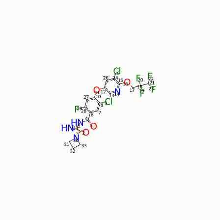 N=S(=O)(NC(=O)c1cc(Cl)c(Oc2cnc(OCC(F)(F)C(F)F)c(Cl)c2)cc1F)N1CCC1